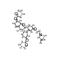 CC1=C(c2ccc(OC3CCCCO3)cc2)C(c2ccc(OCCN3CC[C@@H](C)C3)cc2)Oc2cc(OC3CCCCO3)ccc21